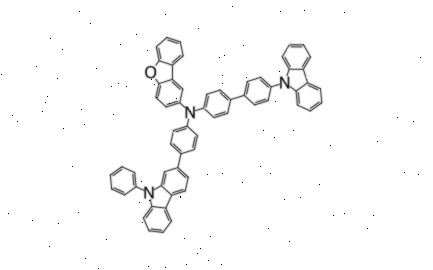 c1ccc(-n2c3ccccc3c3ccc(-c4ccc(N(c5ccc(-c6ccc(-n7c8ccccc8c8ccccc87)cc6)cc5)c5ccc6oc7ccccc7c6c5)cc4)cc32)cc1